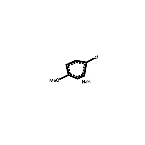 COc1ccc(Cl)cc1.[NaH]